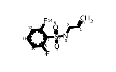 C=CC[N]S(=O)(=O)c1c(F)cccc1F